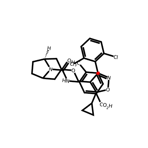 Cc1ccc(C(=O)O)cc1NC(=O)N1C2CC[C@H]1CC(OCc1c(-c3c(Cl)cccc3Cl)noc1C1CC1)C2